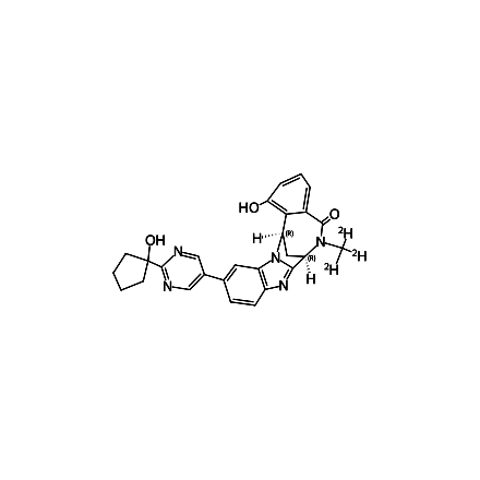 [2H]C([2H])([2H])N1C(=O)c2cccc(O)c2[C@H]2C[C@@H]1c1nc3ccc(-c4cnc(C5(O)CCCC5)nc4)cc3n12